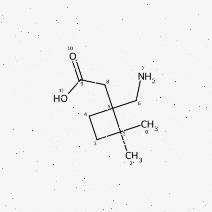 CC1(C)CCC1(CN)CC(=O)O